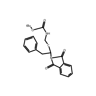 CC(C)(C)OC(=O)NCCC(Cc1ccccc1)N1C(=O)c2ccccc2C1=O